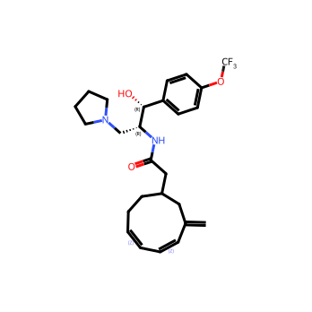 C=C1/C=C\C=C/CCC(CC(=O)N[C@H](CN2CCCC2)[C@H](O)c2ccc(OC(F)(F)F)cc2)C1